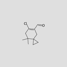 CC1(C)CC(Cl)=C(C=O)CC12CC2